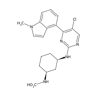 Cn1ccc2c(-c3nc(N[C@@H]4CCC[C@H](NC(=O)O)C4)ncc3Cl)cccc21